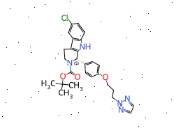 CC(C)(C)OC(=O)N1CCc2c([nH]c3ccc(Cl)cc23)[C@@H]1c1ccc(OCCCn2nccn2)cc1